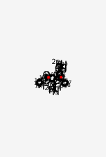 [2H]C([2H])([2H])NCC1CN(S(=O)(=O)Cc2ccccc2)CCC1(OC(=O)c1ccccc1)c1cccc(OC([2H])([2H])[2H])c1